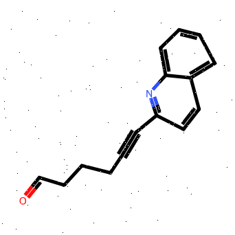 O=CCCCC#Cc1ccc2ccccc2n1